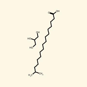 CC(C)CCCCCCCCCCCCCCC(=O)O.OCC(O)CO